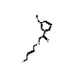 COc1cccc(C(=O)COCC=CCBr)c1